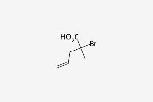 C=CCC(C)(Br)C(=O)O